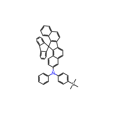 C[Si](C)(C)c1ccc(N(c2ccccc2)c2ccc3c4c(ccc3c2)-c2ccc3ccccc3c2C42c3ccccc3-c3ccccc32)cc1